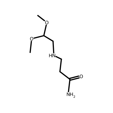 COC(CNCCC(N)=O)OC